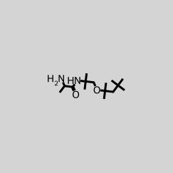 CC(N)C(=O)NC(C)(C)COC(C)(C)CC(C)(C)C